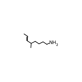 CC=CC(C)CCCCN